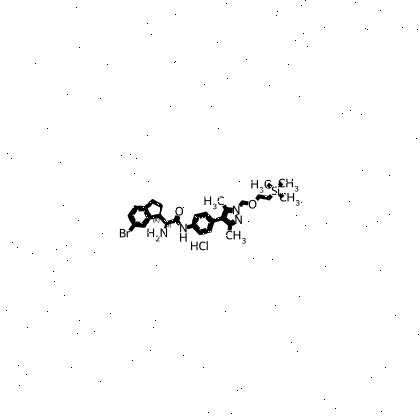 Cc1nn(COCC[Si](C)(C)C)c(C)c1-c1ccc(NC(=O)[C@@H](N)[C@@H]2CCc3ccc(Br)cc32)cc1.Cl